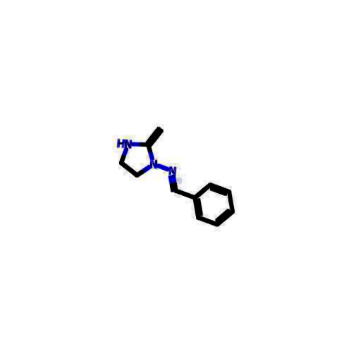 C=C1NCCN1/N=C/c1ccccc1